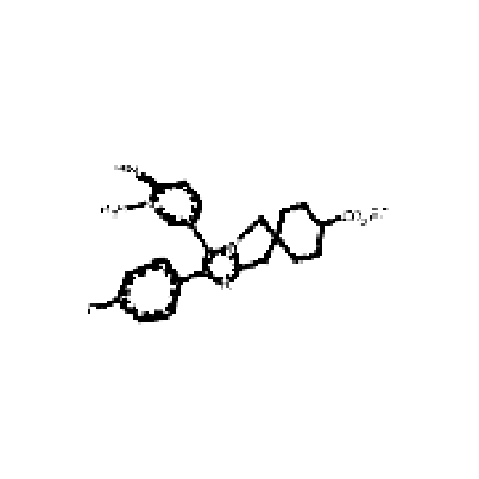 CCOC(=O)C1CCC2(CC1)Cc1nc(-c3ccc(F)cc3)c(-c3ccc(=N)n(N)c3)n1C2